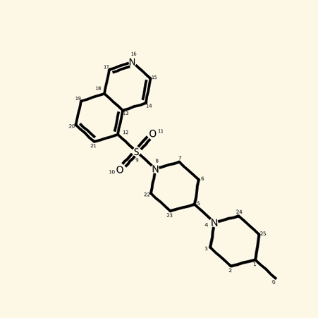 CC1CCN(C2CCN(S(=O)(=O)C3=C4C=CN=CC4CC=C3)CC2)CC1